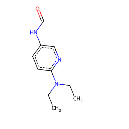 CCN(CC)c1ccc(NC=O)cn1